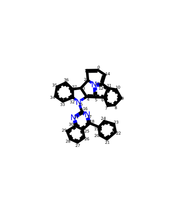 C1=CC2C3C(=c4c5ccccc5c(n42)=C1)N(c1nc(-c2ccccc2)c2ccccc2n1)c1ccccc13